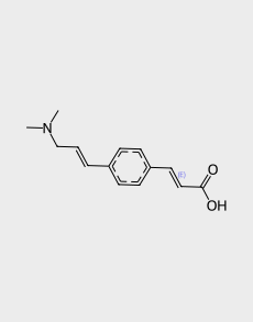 CN(C)CC=Cc1ccc(/C=C/C(=O)O)cc1